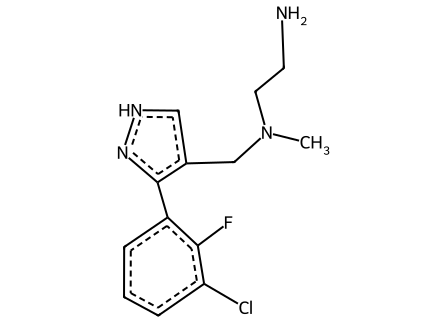 CN(CCN)Cc1c[nH]nc1-c1cccc(Cl)c1F